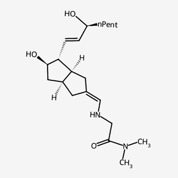 CCCCC[C@H](O)C=C[C@@H]1[C@H]2CC(=CNCC(=O)N(C)C)C[C@H]2C[C@H]1O